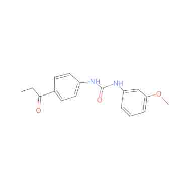 CCC(=O)c1ccc(NC(=O)Nc2cccc(OC)c2)cc1